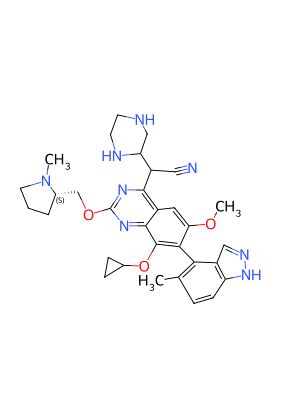 COc1cc2c(C(C#N)C3CNCCN3)nc(OC[C@@H]3CCCN3C)nc2c(OC2CC2)c1-c1c(C)ccc2[nH]ncc12